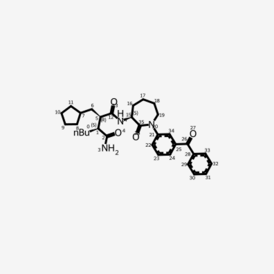 CCCC[C@H](C(N)=O)[C@@H](CC1CCCC1)C(=O)N[C@H]1CCCCN(c2cccc(C(=O)c3ccccc3)c2)C1=O